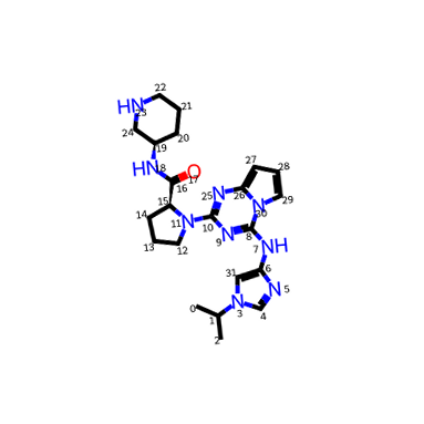 CC(C)n1cnc(Nc2nc(N3CCC[C@H]3C(=O)N[C@@H]3CCCNC3)nc3cccn23)c1